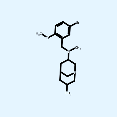 COc1ccc(Br)cc1CN(C)C1CC2CC(C)CN(C2)C1